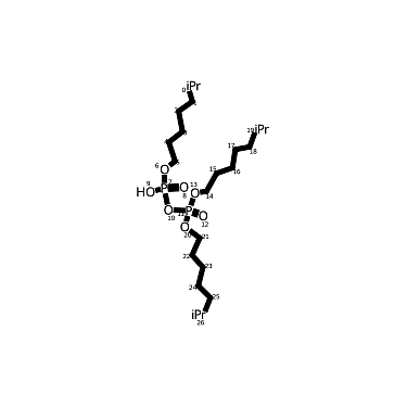 CC(C)CCCCCOP(=O)(O)OP(=O)(OCCCCCC(C)C)OCCCCCC(C)C